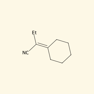 CCC(C#N)=C1CCCCC1